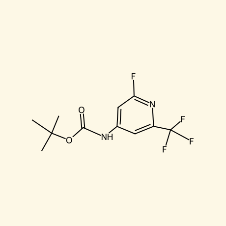 CC(C)(C)OC(=O)Nc1cc(F)nc(C(F)(F)F)c1